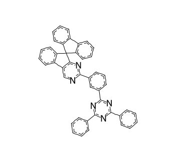 c1ccc(-c2nc(-c3ccccc3)nc(-c3cccc(-c4ncc5c(n4)C4(c6ccccc6-c6ccccc64)c4ccccc4-5)c3)n2)cc1